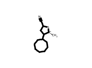 C[C@H]1SC(C#N)CC1C1CCCCCCC1